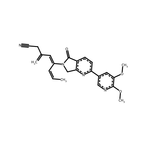 C=C(/C=C(\C=C/C)N1Cc2nc(-c3cnc(OC)c(OC)c3)ccc2C1=O)CC#N